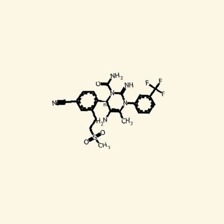 CC1=C(N)[C@@H](c2ccc(C#N)cc2CCS(C)(=O)=O)N(C(N)=O)C(=N)N1c1cccc(C(F)(F)F)c1